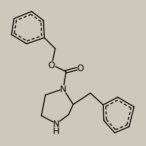 O=C(OCc1ccccc1)N1CCNCC1Cc1ccccc1